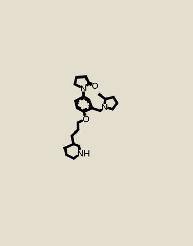 CC1CCCN1Cc1cc(N2CCCC2=O)ccc1OCCCC1CCCNC1